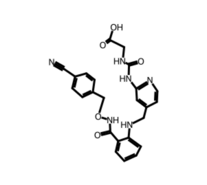 N#Cc1ccc(CONC(=O)c2ccccc2NCc2ccnc(NC(=O)NCC(=O)O)c2)cc1